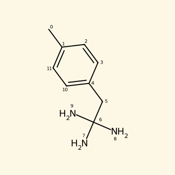 Cc1ccc(CC(N)(N)N)cc1